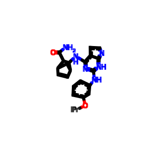 CC(C)Oc1cccc(Nc2nc(NC3C4C=CC(C4)C3C(N)=O)c3ccnc-3[nH]2)c1